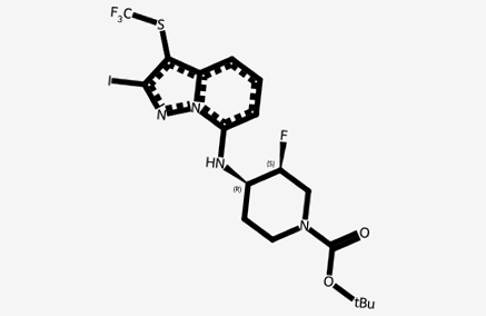 CC(C)(C)OC(=O)N1CC[C@@H](Nc2cccc3c(SC(F)(F)F)c(I)nn23)[C@@H](F)C1